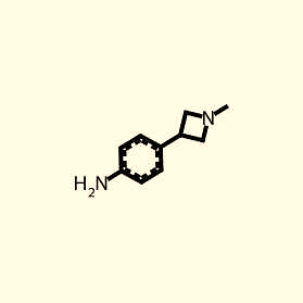 CN1CC(c2ccc(N)cc2)C1